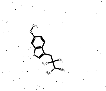 COc1ccc2c(CC(C)(C)[C@H](C)N)coc2c1